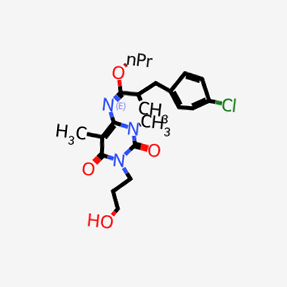 CCCO/C(=N/c1c(C)c(=O)n(CCCO)c(=O)n1C)C(C)Cc1ccc(Cl)cc1